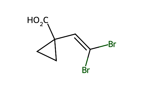 O=C(O)C1(C=C(Br)Br)CC1